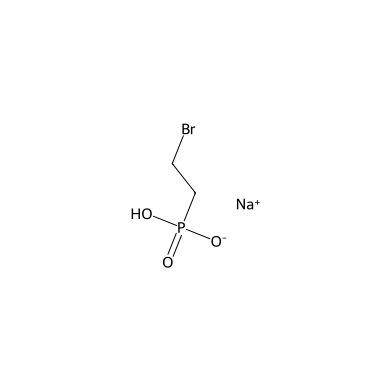 O=P([O-])(O)CCBr.[Na+]